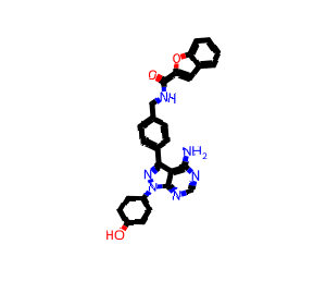 Nc1ncnc2c1c(-c1ccc(CNC(=O)c3cc4ccccc4o3)cc1)nn2C1CCC(O)CC1